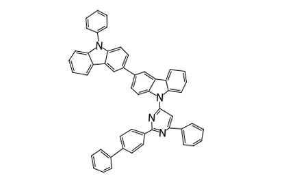 c1ccc(-c2ccc(-c3nc(-c4ccccc4)cc(-n4c5ccccc5c5cc(-c6ccc7c(c6)c6ccccc6n7-c6ccccc6)ccc54)n3)cc2)cc1